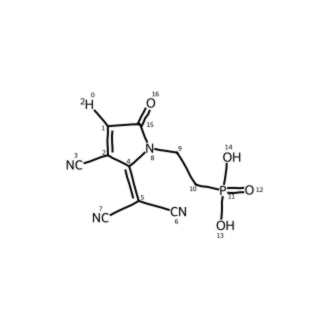 [2H]C1=C(C#N)C(=C(C#N)C#N)N(CCP(=O)(O)O)C1=O